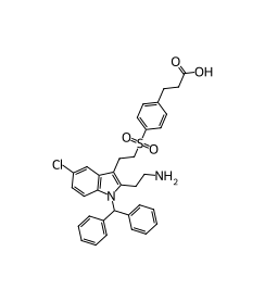 NCCc1c(CCS(=O)(=O)c2ccc(CCC(=O)O)cc2)c2cc(Cl)ccc2n1C(c1ccccc1)c1ccccc1